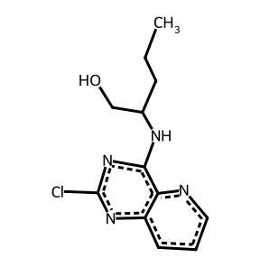 CCCC(CO)Nc1nc(Cl)nc2cccnc12